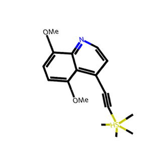 COc1ccc(OC)c2c(C#C[SH](C)(C)(C)C)ccnc12